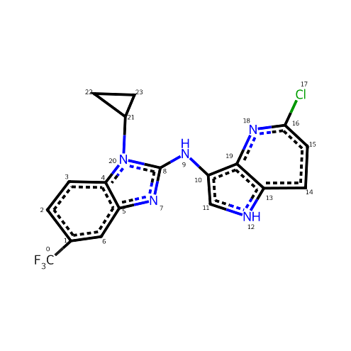 FC(F)(F)c1ccc2c(c1)nc(Nc1c[nH]c3ccc(Cl)nc13)n2C1CC1